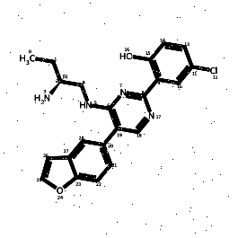 CC[C@H](N)CNc1nc(-c2cc(Cl)ccc2O)ncc1-c1ccc2occc2c1